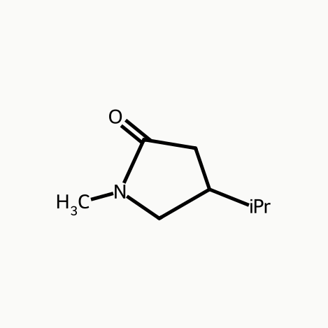 CC(C)C1CC(=O)N(C)C1